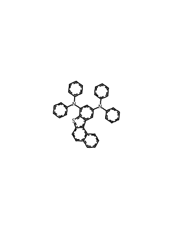 c1ccc(N(c2ccccc2)c2cc(N(c3ccccc3)c3ccccc3)c3sc4ccc5ccccc5c4c3c2)cc1